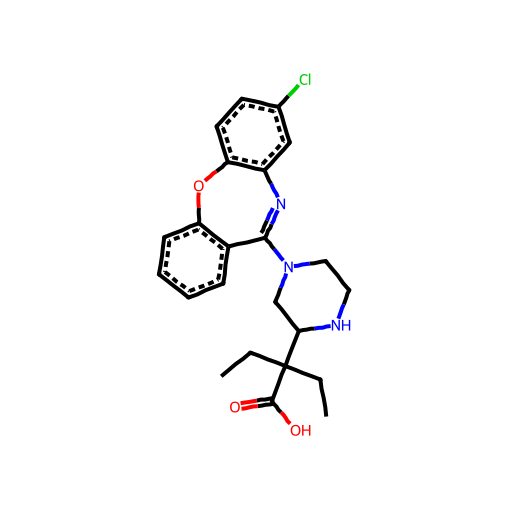 CCC(CC)(C(=O)O)C1CN(C2=Nc3cc(Cl)ccc3Oc3ccccc32)CCN1